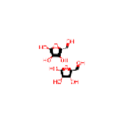 OC[C@@H]1O[C@@H](O)[C@@H](O)[C@H]1O.OC[C@H]1O[C@H](O)[C@H](O)[C@@H]1O